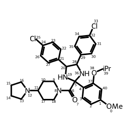 COc1ccc(C2(C(=O)N3CCC(N4CCCC4)CC3)NC(c3ccc(Cl)cc3)C(c3ccc(Cl)cc3)N2)c(OC(C)C)c1